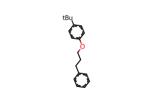 CC(C)(C)c1ccc(OCCCc2ccccc2)cc1